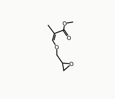 COC(=O)C(C)=COCC1CO1